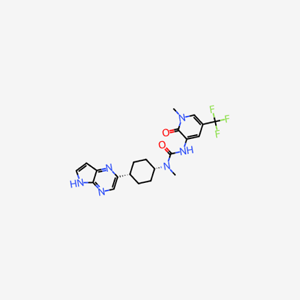 Cn1cc(C(F)(F)F)cc(NC(=O)N(C)[C@H]2CC[C@@H](c3cnc4[nH]ccc4n3)CC2)c1=O